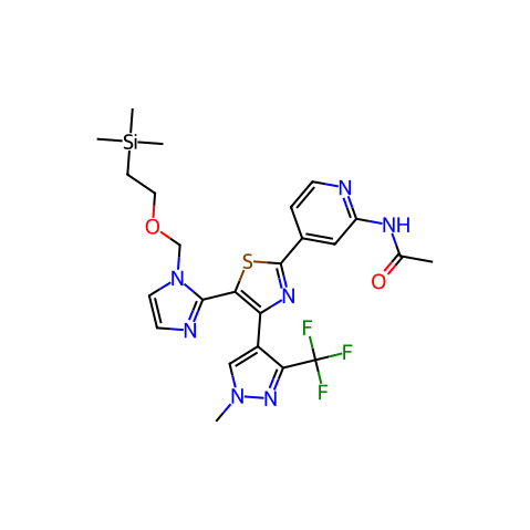 CC(=O)Nc1cc(-c2nc(-c3cn(C)nc3C(F)(F)F)c(-c3nccn3COCC[Si](C)(C)C)s2)ccn1